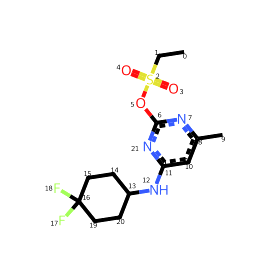 CCS(=O)(=O)Oc1nc(C)cc(NC2CCC(F)(F)CC2)n1